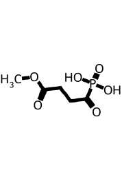 COC(=O)CCC(=O)P(=O)(O)O